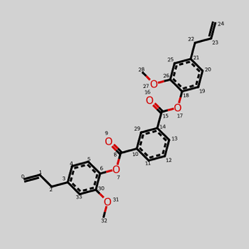 C=CCc1ccc(OC(=O)c2cccc(C(=O)Oc3ccc(CC=C)cc3OC)c2)c(OC)c1